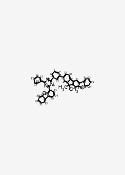 CC1(C)c2cc(-c3cccc(-c4nc(-c5ccccc5)nc(-c5cccc6c5oc5ccccc56)n4)c3)ccc2-c2cc3c(cc21)oc1ccccc13